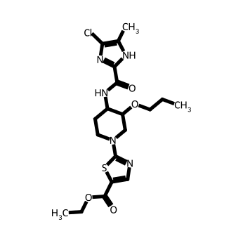 CCCOC1CN(c2ncc(C(=O)OCC)s2)CCC1NC(=O)c1nc(Cl)c(C)[nH]1